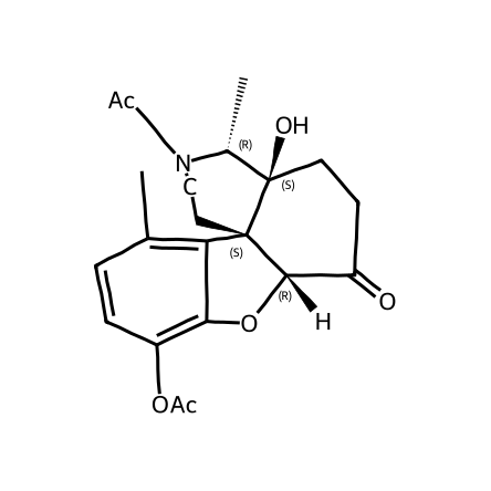 CC(=O)Oc1ccc(C)c2c1O[C@H]1C(=O)CC[C@@]3(O)[C@@H](C)N(C(C)=O)CC[C@]213